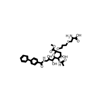 COC(=O)[C@@]1(OCCCSCC(N)C(=O)O)C[C@@H](O)C(NC(C)=O)C([C@H](O)C(O)CNC(=O)c2ccc(-c3ccccc3)cc2)O1